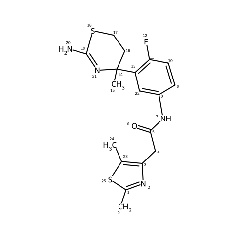 Cc1nc(CC(=O)Nc2ccc(F)c(C3(C)CCSC(N)=N3)c2)c(C)s1